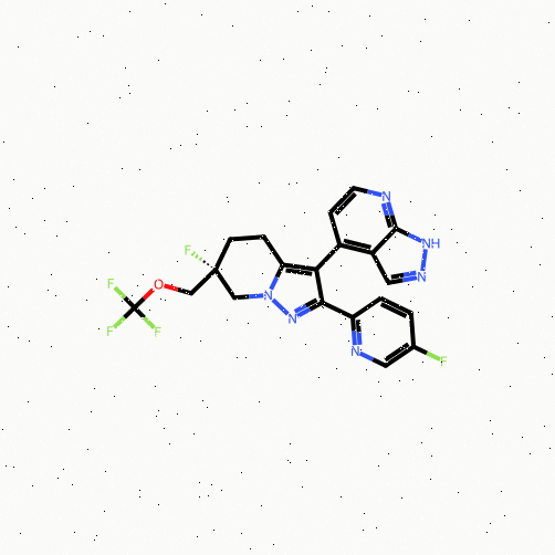 Fc1ccc(-c2nn3c(c2-c2ccnc4[nH]ncc24)CC[C@](F)(COC(F)(F)F)C3)nc1